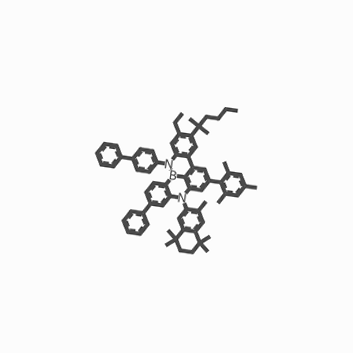 CCCCC(C)(C)c1cc2c(cc1CC)N(c1ccc(-c3ccccc3)cc1)B1c3ccc(-c4ccccc4)cc3N(c3cc4c(cc3C)C(C)(C)CCC4(C)C)c3cc(-c4c(C)cc(C)cc4C)cc-2c31